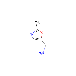 Cc1ncc(CN)o1